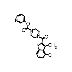 Cc1c(C(=O)N2CCN(C(=O)Oc3cccnc3)CC2)sc2cccc(Cl)c12